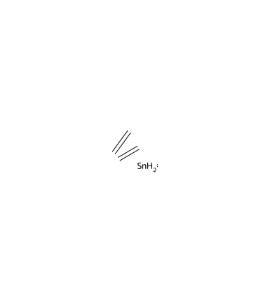 C=C.C=C.[SnH2]